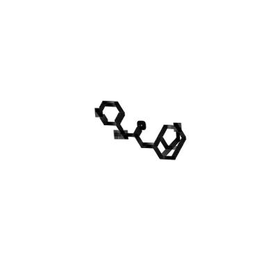 O=C(C=C1C2CC3CC1CN(C3)C2)Nc1cccnc1